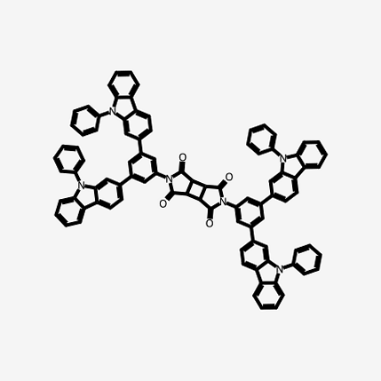 O=C1C2C(C(=O)N1c1cc(-c3ccc4c5ccccc5n(-c5ccccc5)c4c3)cc(-c3ccc4c5ccccc5n(-c5ccccc5)c4c3)c1)C1C(=O)N(c3cc(-c4ccc5c6ccccc6n(-c6ccccc6)c5c4)cc(-c4ccc5c6ccccc6n(-c6ccccc6)c5c4)c3)C(=O)C21